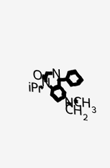 C=[N+](C)c1ccc2c(c1)C(c1ccccc1)=NCC(=O)N2C(C)C